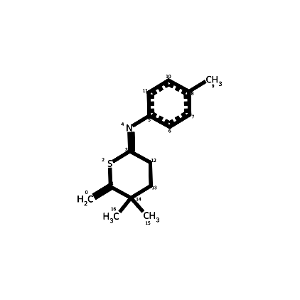 C=C1SC(=Nc2ccc(C)cc2)CCC1(C)C